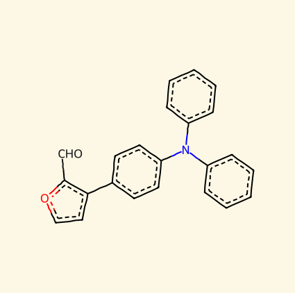 O=Cc1occc1-c1ccc(N(c2ccccc2)c2ccccc2)cc1